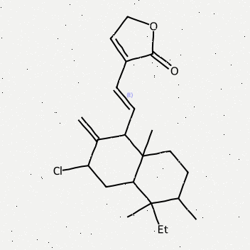 C=C1C(Cl)CC2C(C)(CC)C(C)CCC2(C)C1/C=C/C1=CCOC1=O